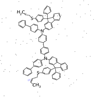 C=CCSc1ccc(C2(c3ccccc3)c3ccccc3-c3ccc(N(C4=CCC(c5ccc(N(c6ccc(-c7ccccc7)cc6)c6ccc7c(c6)C(c6ccccc6)(c6ccc(SC/C=C\C)cc6)c6ccccc6-7)cc5)C=C4)c4ccc(-c5ccccc5)cc4)cc32)cc1